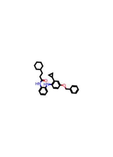 O=C(CCC1CCCCC1)Nc1ccccc1Nc1ccc(OCc2ccccc2)cc1C1CC1